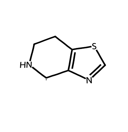 [CH]1NCCc2scnc21